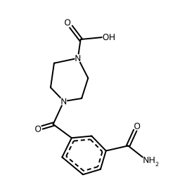 NC(=O)c1cccc(C(=O)N2CCN(C(=O)O)CC2)c1